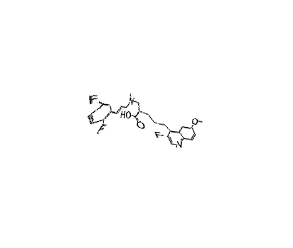 COc1ccc2ncc(F)c(CCCC(CN(C)C/C=C/c3cc(F)ccc3F)C(=O)O)c2c1